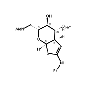 CCNC1=N[C@@H]2[C@@H](O)[C@H](O)[C@@H](CNC)O[C@@H]2S1.Cl